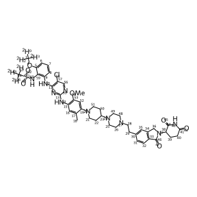 [2H]C([2H])([2H])Oc1cccc(Nc2nc(Nc3cc(C)c(N4CCC(N5CCN(CCc6ccc7c(c6)CN(C6CCC(=O)NC6=O)C7=O)CC5)CC4)cc3OC)ncc2Cl)c1NS(=O)(=O)C([2H])([2H])[2H]